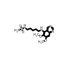 COc1cc2ncncc2c(NCCCCCNS(N)(=O)=O)c1OC